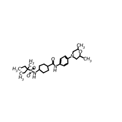 CCC(C)(CC)S(=O)(=O)NC1CCC(C(=O)Nc2ccc(N3CC(C)OC(C)C3)cc2)CC1